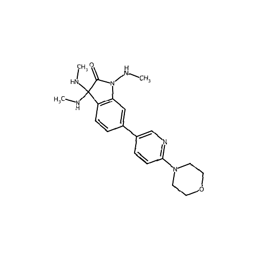 CNN1C(=O)C(NC)(NC)c2ccc(-c3ccc(N4CCOCC4)nc3)cc21